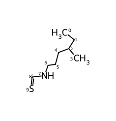 CCC(C)CCCN[C]=S